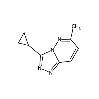 Cc1ccc2nnc(C3CC3)n2n1